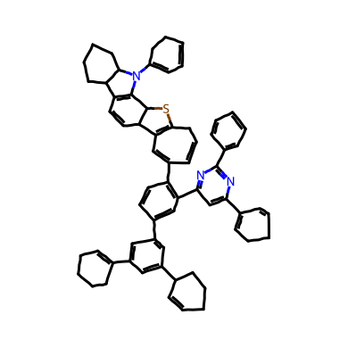 C1=CCCC(N2C3=C(C=CC4C5=C(CC=CC(c6ccc(-c7cc(C8=CCCCC8)cc(C8C=CCCC8)c7)cc6-c6cc(C7=CCCC=C7)nc(-c7ccccc7)n6)=C5)SC34)C3CCCCC32)=C1